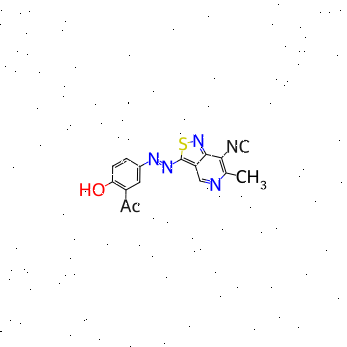 [C-]#[N+]c1c(C)ncc2c(/N=N/c3ccc(O)c(C(C)=O)c3)snc12